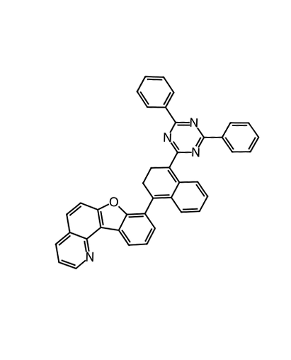 c1ccc(-c2nc(C3=c4ccccc4=C(c4cccc5c4oc4ccc6cccnc6c45)CC3)nc(-c3ccccc3)n2)cc1